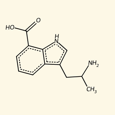 CC(N)Cc1c[nH]c2c(C(=O)O)cccc12